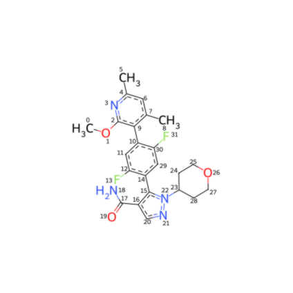 COc1nc(C)cc(C)c1-c1cc(F)c(-c2c(C(N)=O)cnn2C2CCOCC2)cc1F